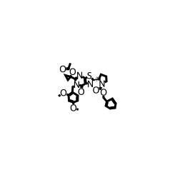 COc1ccc(Cn2c(C3(OC(C)=O)CC3)nc3sc([C@H]4CCCN4C(=O)OCc4ccccc4)nc3c2=O)c(OC)c1